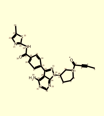 CC#CC(=O)N1CCC[C@@H](n2nc(-c3ccc(C(=O)Nc4ncc(C)s4)cc3)c3c(N)ncnc32)C1